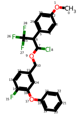 COc1ccc(C(C(Cl)OCc2ccc(F)c(Oc3ccccc3)c2)C(F)(F)F)cc1